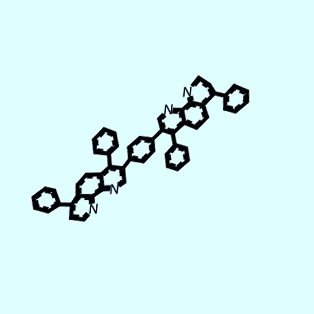 c1ccc(-c2ccnc3c2ccc2c(-c4ccccc4)c(-c4ccc(-c5cnc6c(ccc7c(-c8ccccc8)ccnc76)c5-c5ccccc5)cc4)cnc23)cc1